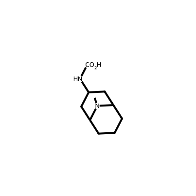 CN1C2CCCC1CC(NC(=O)O)C2